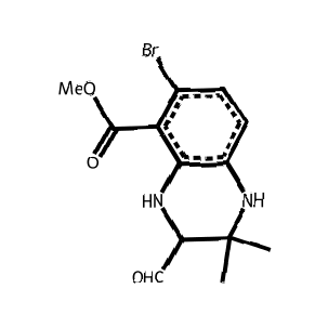 COC(=O)c1c(Br)ccc2c1NC(C=O)C(C)(C)N2